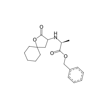 C[C@H](NC1CC2(CCCCC2)OC1=O)C(=O)OCc1ccccc1